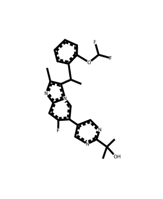 Cc1nc2cc(F)c(-c3cnc(C(C)(C)O)nc3)cn2c1C(C)c1ccccc1OC(F)F